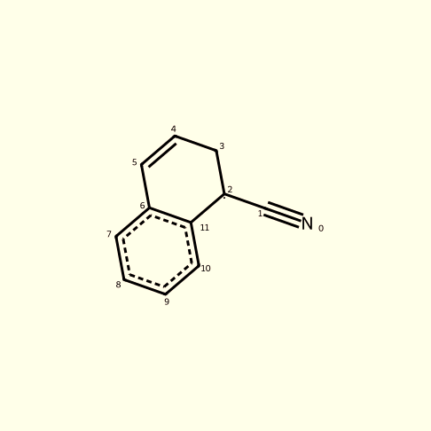 N#C[C]1CC=Cc2ccccc21